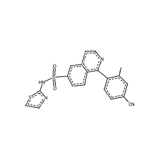 Cc1cc(C#N)ccc1-c1nccc2cc(S(=O)(=O)Nc3nccs3)ccc12